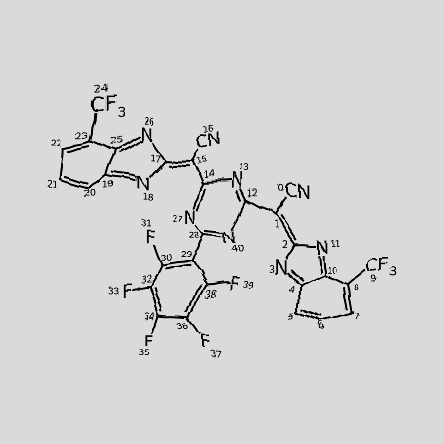 N#C/C(=C1/N=c2cccc(C(F)(F)F)c2=N1)c1nc(/C(C#N)=C2\N=c3cccc(C(F)(F)F)c3=N2)nc(-c2c(F)c(F)c(F)c(F)c2F)n1